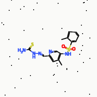 Cc1cc(C=NNC(N)=S)ncc1NS(=O)(=O)c1ccccc1C